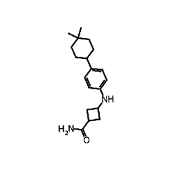 CC1(C)CCC(c2ccc(NC3CC(C(N)=O)C3)cc2)CC1